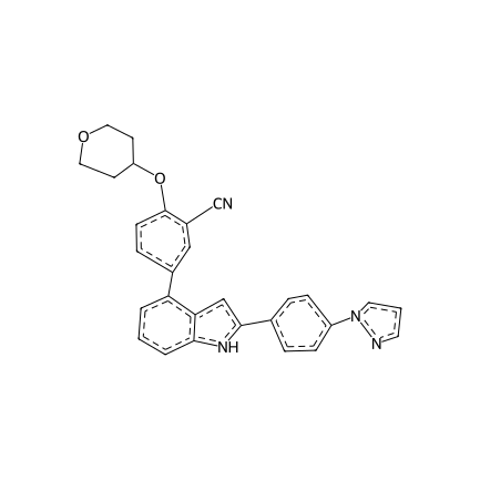 N#Cc1cc(-c2cccc3[nH]c(-c4ccc(-n5cccn5)cc4)cc23)ccc1OC1CCOCC1